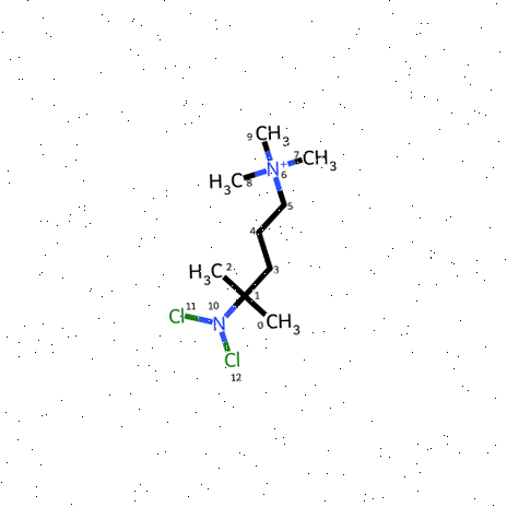 CC(C)(CCC[N+](C)(C)C)N(Cl)Cl